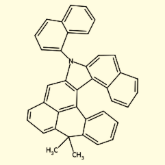 CC1(C)c2ccccc2-c2c3c1cccc3cc1c2c2c3ccccc3ccc2n1-c1cccc2ccccc12